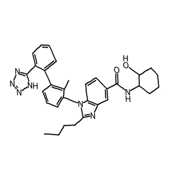 CCCCc1nc2cc(C(=O)NC3CCCCC3O)ccc2n1-c1cccc(-c2ccccc2-c2nnn[nH]2)c1C